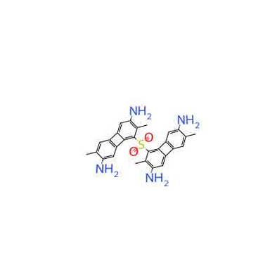 Cc1cc2c(cc1N)-c1c-2cc(N)c(C)c1S(=O)(=O)c1c(C)c(N)cc2c1-c1cc(N)c(C)cc1-2